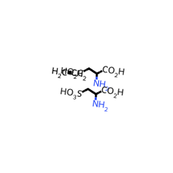 C=C.NC(CC(=O)O)C(=O)O.NC(CS(=O)(=O)O)C(=O)O